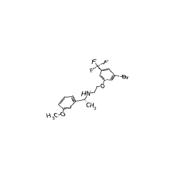 COc1cccc([C@@H](C)NCCOc2cc(Br)cc(C(F)(F)F)c2)c1